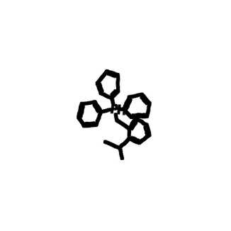 CC(C)c1ccccc1C[PH](c1ccccc1)(c1ccccc1)c1ccccc1